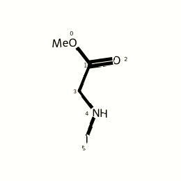 COC(=O)CNI